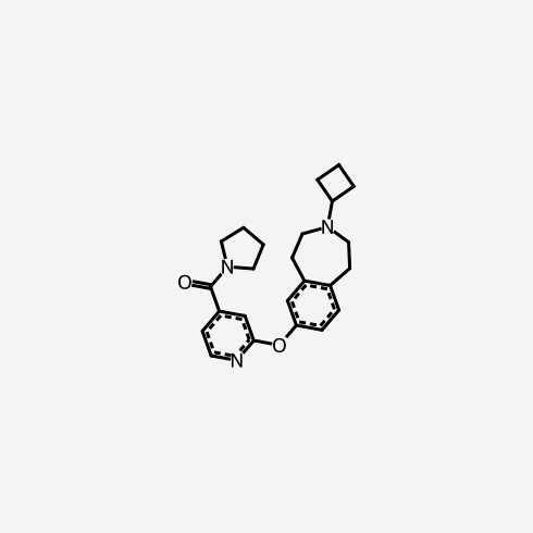 O=C(c1ccnc(Oc2ccc3c(c2)CCN(C2CCC2)CC3)c1)N1CCCC1